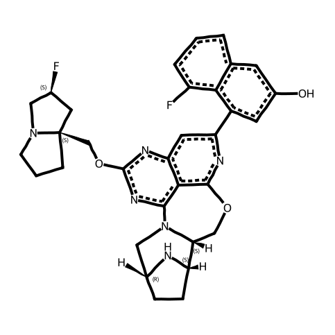 Oc1cc(-c2cc3nc(OC[C@@]45CCCN4C[C@@H](F)C5)nc4c3c(n2)OC[C@@H]2[C@@H]3CC[C@H](CN42)N3)c2c(F)cccc2c1